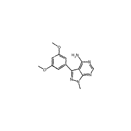 COc1cc(OC)cc(-c2nn(C)c3ncnc(N)c23)c1